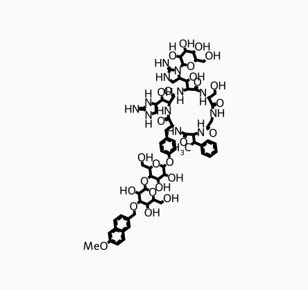 COc1ccc2cc(COC3C(O)C(CO)OC(OC4C(CO)OC(Oc5ccc(CC6NC(=O)C(C(C)c7ccccc7)NC(=O)CNC(=O)C(CO)NC(=O)C(C(O)C7CNC(=N)N7C7OC(CO)C(O)C(O)C7O)NC(=O)C(C(O)C7CNC(=N)N7)NC6=O)cc5)C(O)C4O)C3O)ccc2c1